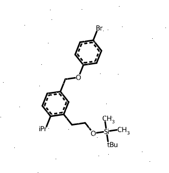 CC(C)c1ccc(COc2ccc(Br)cc2)cc1CCO[Si](C)(C)C(C)(C)C